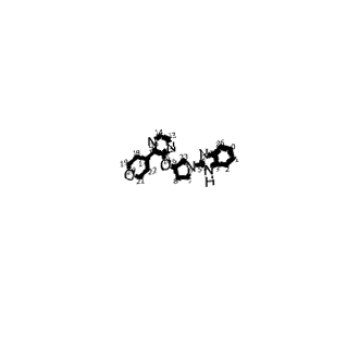 c1ccc2[nH]c(N3CCC(Oc4nccnc4C4CCOCC4)C3)nc2c1